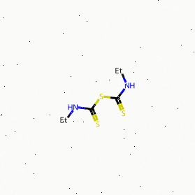 CCNC(=S)SC(=S)NCC